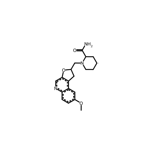 COc1ccc2ncc3c(c2c1)CC(CN1CC[CH]CC1C(N)=O)O3